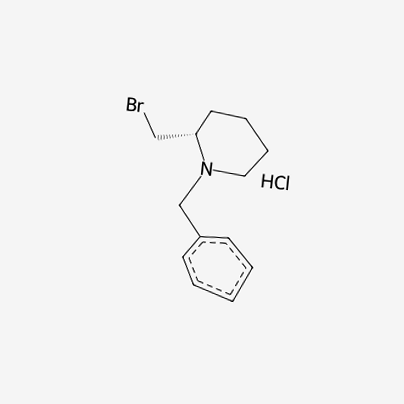 BrC[C@@H]1CCCCN1Cc1ccccc1.Cl